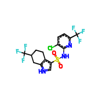 O=S(=O)(Nc1nc(C(F)(F)F)ccc1Cl)c1c[nH]c2c1CCC(C(F)(F)F)C2